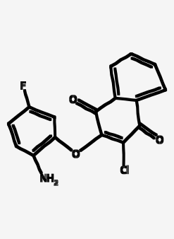 Nc1ccc(F)cc1OC1=C(Cl)C(=O)c2ccccc2C1=O